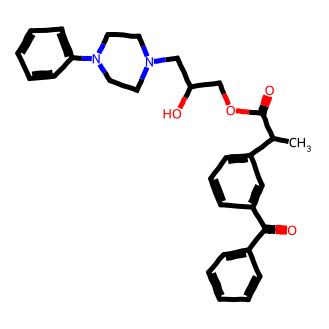 CC(C(=O)OCC(O)CN1CCN(c2ccccc2)CC1)c1cccc(C(=O)c2ccccc2)c1